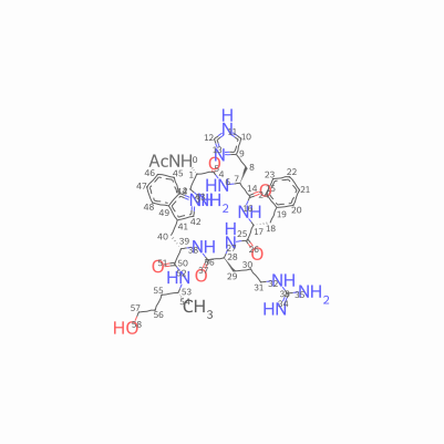 CC(=O)N[C@@H](CN)C(=O)N[C@@H](Cc1c[nH]cn1)C(=O)N[C@H](Cc1ccccc1)C(=O)N[C@@H](CCCNC(=N)N)C(=O)N[C@@H](Cc1c[nH]c2ccccc12)C(=O)N[C@H](C)CCCO